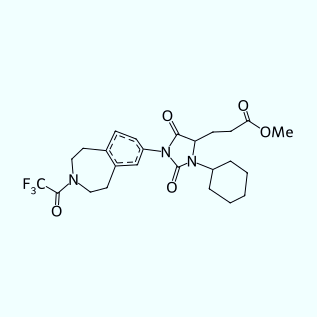 COC(=O)CCC1C(=O)N(c2ccc3c(c2)CCN(C(=O)C(F)(F)F)CC3)C(=O)N1C1CCCCC1